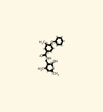 Cc1cc(C)c(CNC(=O)c2ccc(Oc3ccccc3)c(C)c2)c(O)n1